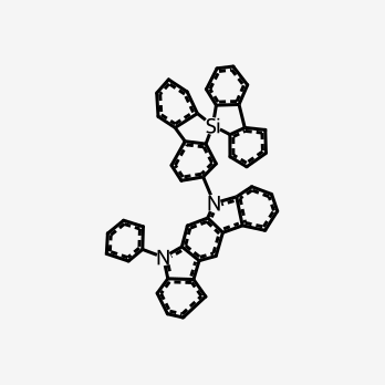 c1ccc(-n2c3ccccc3c3cc4c5ccccc5n(-c5ccc6c(c5)[Si]5(c7ccccc7-c7ccccc75)c5ccccc5-6)c4cc32)cc1